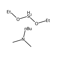 CCCCN(C)C.CCO[SiH2]OCC